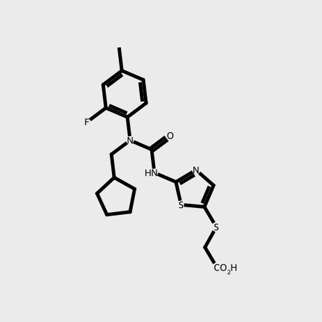 Cc1ccc(N(CC2CCCC2)C(=O)Nc2ncc(SCC(=O)O)s2)c(F)c1